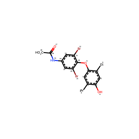 CCc1cc(O)c(C(C)C)cc1Oc1c(Br)cc(NC(=O)C(=O)O)cc1Br